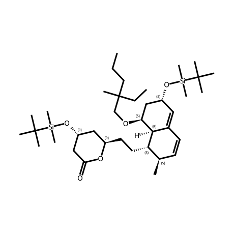 CCCC(C)(CC)CO[C@H]1C[C@H](O[Si](C)(C)C(C)(C)C)C=C2C=C[C@@H](C)[C@H](CC[C@@H]3C[C@@H](O[Si](C)(C)C(C)(C)C)CC(=O)O3)[C@H]21